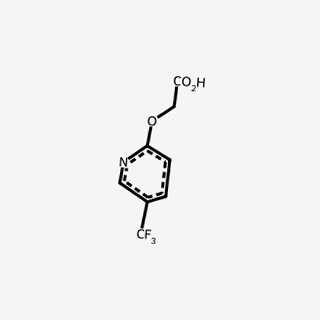 O=C(O)COc1ccc(C(F)(F)F)cn1